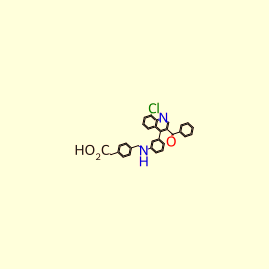 O=C(O)Cc1ccc(CNc2cccc(-c3c(C(=O)c4ccccc4)cnc4c(Cl)cccc34)c2)cc1